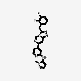 Cn1nccc1Nc1cc(-c2cc3nnc(Cc4cccc(F)c4F)n3cn2)ccn1